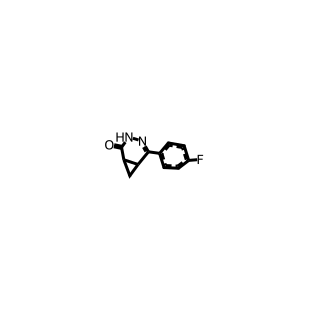 O=C1NN=C(c2ccc(F)cc2)C2CC12